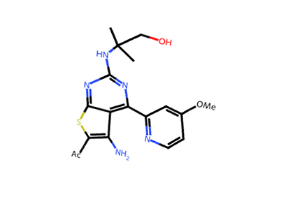 COc1ccnc(-c2nc(NC(C)(C)CO)nc3sc(C(C)=O)c(N)c23)c1